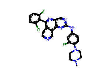 CN1CCN(c2ccc(Nc3ncc4nc(-c5c(F)cccc5Cl)c5ccncc5c4n3)cc2F)CC1